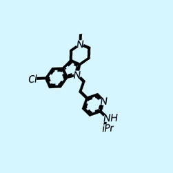 CC(C)Nc1ccc(CCn2c3c(c4cc(Cl)ccc42)CN(C)CC3)cn1